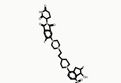 CS(=O)(=O)c1ccc(N2CCC(CCN3CCN(c4cc5c(cc4F)C(=O)N(C4CCC(=O)NC4=O)C5=O)CC3)CC2)c2c1C(O)C(F)C2